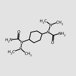 CN(C)N(C(N)=O)C1CCC(N(C(N)=O)N(C)C)CC1